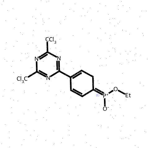 CCO/[P+]([O-])=C1/C=CC(c2nc(C(Cl)(Cl)Cl)nc(C(Cl)(Cl)Cl)n2)=CC1